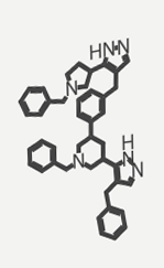 c1ccc(Cc2cn[nH]c2C2CC(c3cccc(Cc4cn[nH]c4C4CCN(Cc5ccccc5)C4)c3)CN(Cc3ccccc3)C2)cc1